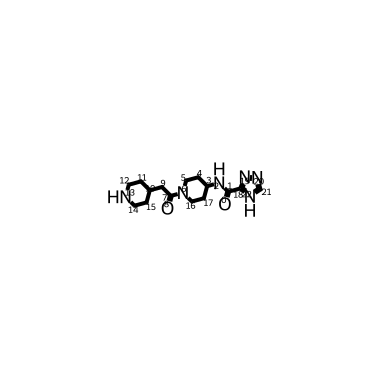 O=C(NC1CCN(C(=O)CC2CCNCC2)CC1)c1nnc[nH]1